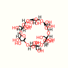 OCC1O[C@@H]2O[C@@H]3C(CO)O[C@H](OC4=CO[C@H](O[C@@H]5C(CO)O[C@H](OC6=CO[C@H](OC7=CO[C@H](O[C@H]1C(O)[C@@H]2O)C(O)[C@H]7O)C(O)[C@H]6O)C(O)[C@H]5O)[C@@H](O)C4O)[C@@H](O)C3O